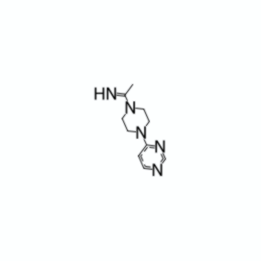 CC(=N)N1CCN(c2ccncn2)CC1